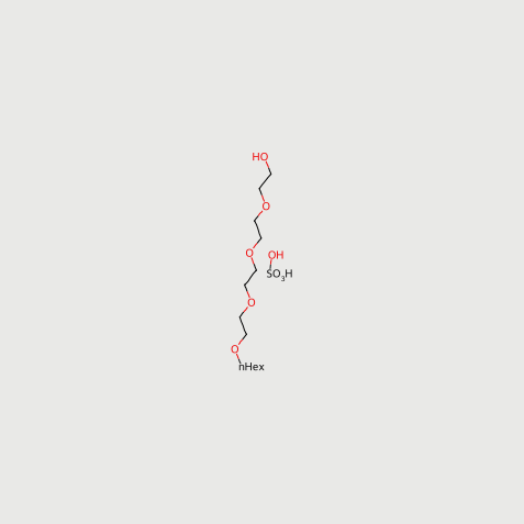 CCCCCCOCCOCCOCCOCCO.O=S(=O)(O)O